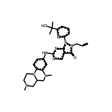 C=CCn1c(=O)c2cnc(Nc3ccc4c(c3)N(C)CC3CN(C)CCN43)nc2n1-c1cccc(C(C)(C)O)n1